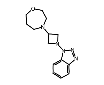 c1ccc2c(c1)nnn2N1CC(N2CCCOCC2)C1